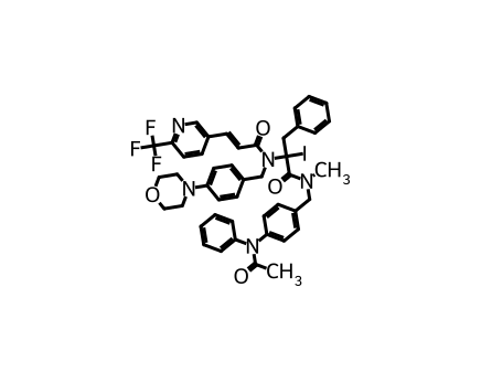 CC(=O)N(c1ccccc1)c1ccc(CN(C)C(=O)C(I)(Cc2ccccc2)N(Cc2ccc(N3CCOCC3)cc2)C(=O)C=Cc2ccc(C(F)(F)F)nc2)cc1